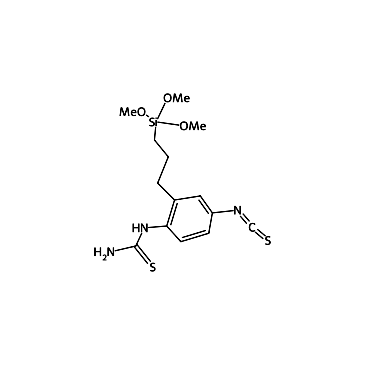 CO[Si](CCCc1cc(N=C=S)ccc1NC(N)=S)(OC)OC